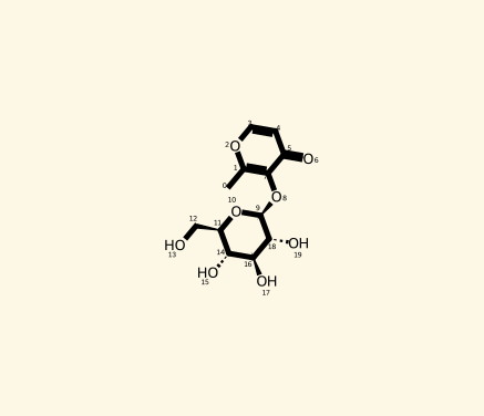 Cc1occc(=O)c1O[C@@H]1O[C@H](CO)[C@@H](O)[C@H](O)[C@H]1O